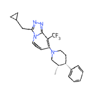 C[C@@H]1CN(c2ccn3c(CC4CC4)nnc3c2C(F)(F)F)CC[C@@H]1c1ccccc1